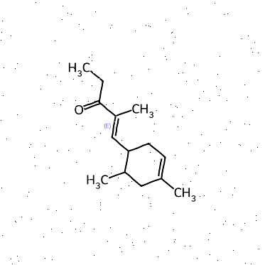 CCC(=O)/C(C)=C/C1CC=C(C)CC1C